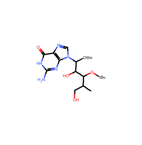 COC(C(O)C(OC(C)(C)C)C(C)CO)n1cnc2c(=O)[nH]c(N)nc21